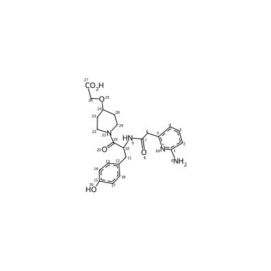 Nc1cccc(CC(=O)NC(Cc2ccc(O)cc2)C(=O)N2CCC(OCC(=O)O)CC2)n1